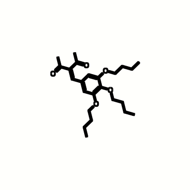 CCCCOc1cc(C=C(C(C)=O)C(C)=O)cc(OCCCC)c1OCCCC